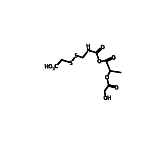 CC(OC(=O)CO)C(=O)OC(=O)NCSSCC(=O)O